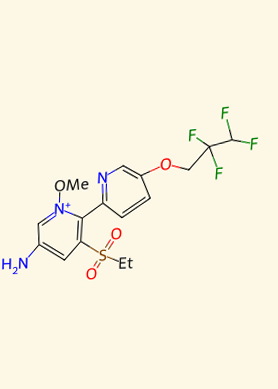 CCS(=O)(=O)c1cc(N)c[n+](OC)c1-c1ccc(OCC(F)(F)C(F)F)cn1